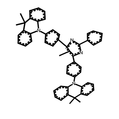 Cc1c(-c2ccc(N3c4ccccc4C(C)(C)c4ccccc43)cc2)nc(-c2ccccc2)nc1-c1ccc(N2c3ccccc3C(C)(C)c3ccccc32)cc1